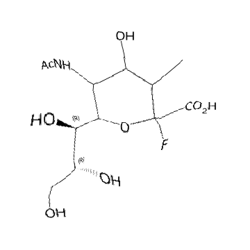 CC(=O)NC1C(O)C(C)C(F)(C(=O)O)OC1[C@H](O)[C@H](O)CO